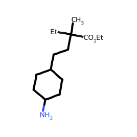 CCOC(=O)C(C)(CC)CCC1CCC(N)CC1